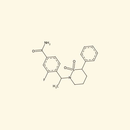 CC(c1ccc(C(N)=O)cc1F)N1CCCC(c2ccccc2)S1(=O)=O